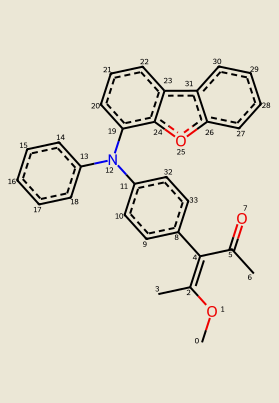 CO/C(C)=C(\C(C)=O)c1ccc(N(c2ccccc2)c2cccc3c2oc2ccccc23)cc1